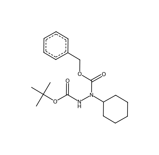 CC(C)(C)OC(=O)NN(C(=O)OCc1ccccc1)C1CCCCC1